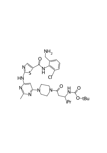 Cc1nc(Nc2ncc(C(=O)Nc3c(Cl)cccc3CN)s2)cc(N2CCN(C(=O)CC(NC(=O)OC(C)(C)C)C(C)C)CC2)n1